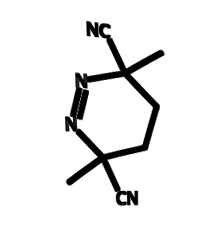 CC1(C#N)CCC(C)(C#N)N=N1